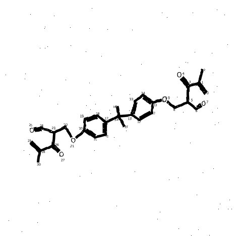 C=C(C)C(=O)C(C=O)COc1ccc(C(C)(C)c2ccc(OCC(C=O)C(=O)C(=C)C)cc2)cc1